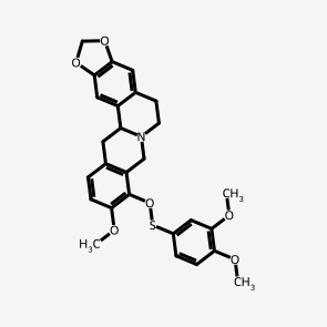 COc1ccc(SOc2c(OC)ccc3c2CN2CCc4cc5c(cc4C2C3)OCO5)cc1OC